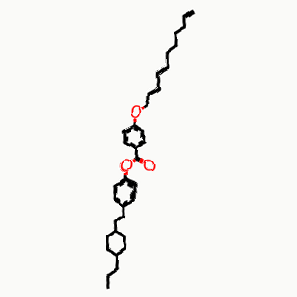 C=CCCCCCCCCCOc1ccc(C(=O)Oc2ccc(CCC3CCC(CCC)CC3)cc2)cc1